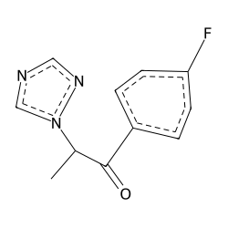 CC(C(=O)c1ccc(F)cc1)n1cncn1